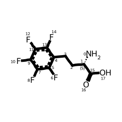 N[C@@H](CCc1c(F)c(F)c(F)c(F)c1F)C(=O)O